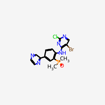 CP(C)(=O)c1cc(-c2cnccn2)ccc1Nc1nc(Cl)ncc1Br